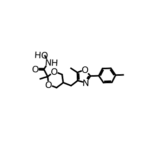 Cc1ccc(-c2nc(CC3COC(C)(C(=O)NO)OC3)c(C)o2)cc1